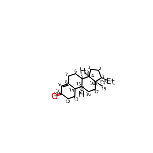 CC[C@@H]1CC[C@@H]2C3CCC4=CC(=O)CCC4[C@@H]3CC[C@@]12C